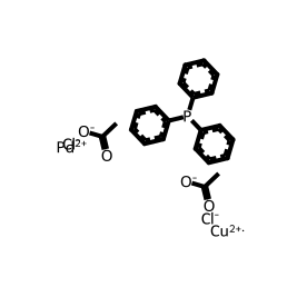 CC(=O)[O-].CC(=O)[O-].[Cl-].[Cl-].[Cu+2].[Pd+2].c1ccc(P(c2ccccc2)c2ccccc2)cc1